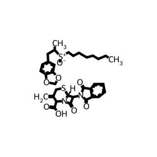 C=C1CS[C@@H]2C(N3C(=O)c4ccccc4C3=O)C(=O)N2C1C(=O)O.CCCCCCCC[S+]([O-])C(C)Cc1ccc2c(c1)OCO2